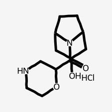 Cl.O=C(C1CNCCO1)N1C2CCC1CC(O)C2